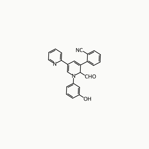 N#Cc1ccccc1C1=CC(c2ccccn2)=CN(c2cccc(O)c2)C1C=O